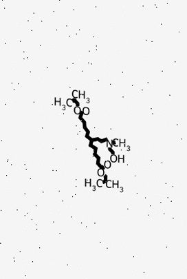 CC(C)COC(=O)CCCCCC(CCCCCC(=O)OCC(C)C)CCCN(C)CCO